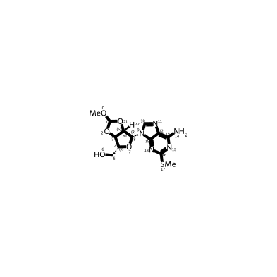 COC1OC2[C@@H](CO)O[C@@H](n3cnc4c(N)nc(SC)nc43)[C@H]2O1